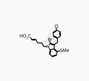 CSc1cccc2c1c(Cc1ccc(Cl)cc1)c(Br)n2CCC/C=C/C(=O)O